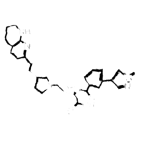 Cn1cc(-c2cccc(C(=O)N[C@@H](CCN3CC[C@@H](CCc4ccc5c(n4)NCCC5)C3)C(=O)O)c2)cn1